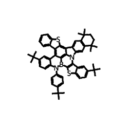 CC(C)(C)c1ccc(N2B3c4sc5ccc(C(C)(C)C)cc5c4-n4c5cc6c(cc5c5c7sc8ccccc8c7c(c3c54)-c3cc(C(C)(C)C)ccc32)C(C)(C)CCC6(C)C)cc1